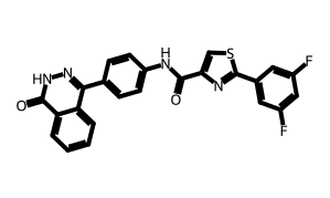 O=C(Nc1ccc(-c2n[nH]c(=O)c3ccccc23)cc1)c1csc(-c2cc(F)cc(F)c2)n1